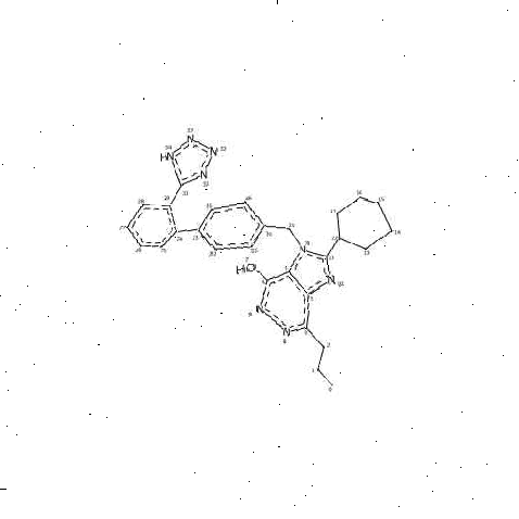 CCCc1nnc(O)c2c1nc(C1CCCCC1)n2Cc1ccc(-c2ccccc2-c2nnn[nH]2)cc1